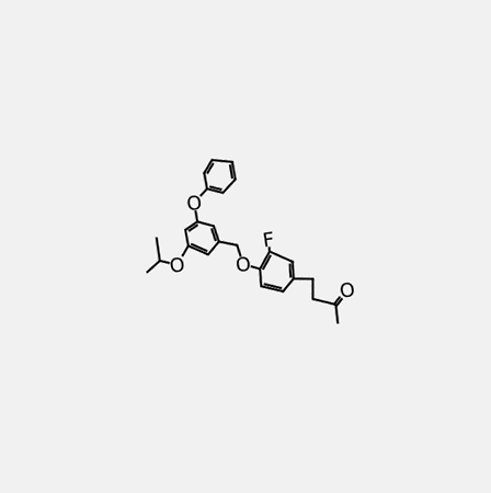 CC(=O)CCc1ccc(OCc2cc(Oc3ccccc3)cc(OC(C)C)c2)c(F)c1